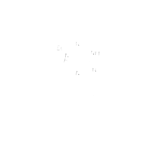 CCNc1nc[nH]c2nc(C3CC3CC3CCCCC3)nc1-2